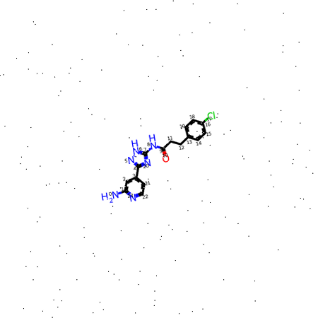 Nc1cc(-c2n[nH]c(NC(=O)CCc3ccc(Cl)cc3)n2)ccn1